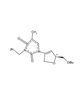 Cc1cn(C2=C[C@@H](COCC(C)C)OC2)c(=O)n(CC(C)C)c1=O